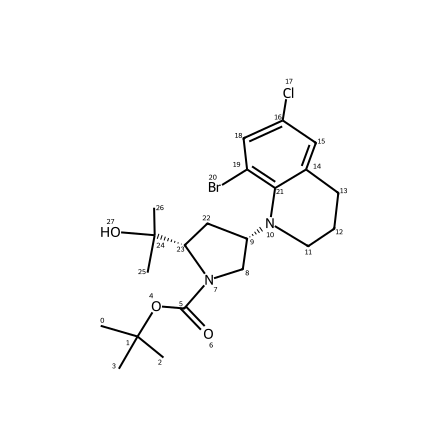 CC(C)(C)OC(=O)N1C[C@@H](N2CCCc3cc(Cl)cc(Br)c32)C[C@H]1C(C)(C)O